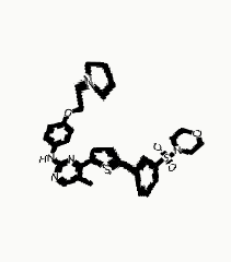 Cc1cnc(Nc2ccc(OCCN3CCCC3)cc2)nc1-c1ccc(-c2cccc(S(=O)(=O)N3CCOCC3)c2)s1